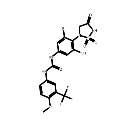 COc1ccc(NC(=O)Nc2cc(O)c(N3CC(=O)NS3(=O)=O)c(F)c2)cc1C(F)(F)F